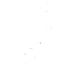 O=C(C=Cc1c(F)cccc1F)NCCc1cccc(Oc2ncccn2)c1